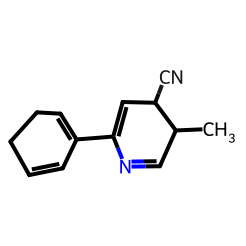 CC1C=NC(C2=CCCC=C2)=CC1C#N